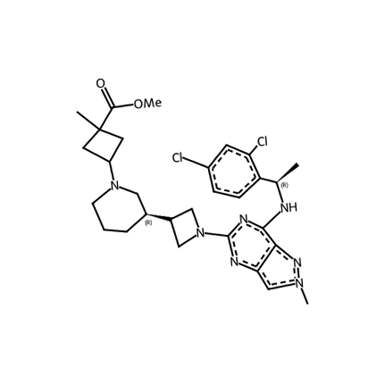 COC(=O)C1(C)CC(N2CCC[C@H](C3CN(c4nc(N[C@H](C)c5ccc(Cl)cc5Cl)c5nn(C)cc5n4)C3)C2)C1